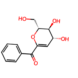 O=C(C1=C[C@@H](O)[C@H](O)[C@@H](CO)O1)c1ccccc1